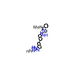 C=C(C(NC)C1=CC=C=CC=C1)N1CCCC1c1nc2ccc3cc(-c4ccc5c(ccc6nc(CNCCC)[nH]c65)c4)ccc3c2[nH]1